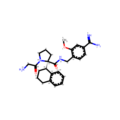 COc1cc(C(=N)N)ccc1CNC(=O)[C@]1(C2CCCc3ccccc32)CCCN1C(=O)CN